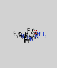 CC(C)c1nc(-c2cnc(N)c(OC(F)(F)F)c2)cn1C1[C@H]2CN(CC(F)(F)F)C[C@@H]12